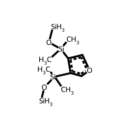 C[Si](C)(O[SiH3])c1cocc1[Si](C)(C)O[SiH3]